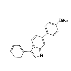 CC(C)COc1ccc(-c2ccn3c(C4=CC=CCC4)cnc3c2)cc1